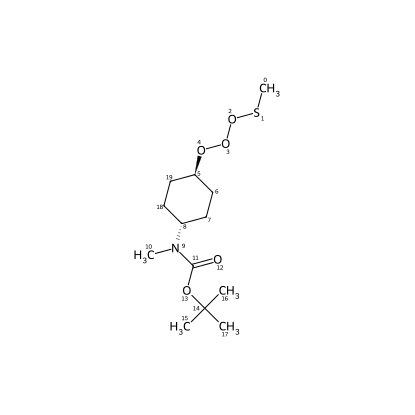 CSOOO[C@H]1CC[C@H](N(C)C(=O)OC(C)(C)C)CC1